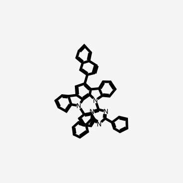 c1c(-c2cc3c4ccccc4n(-c4ccccc4)c3c3c2c2ccccc2n3-c2nc(-c3ccccc3)nc(-c3ccccc3)n2)cc2ccccc2c#1